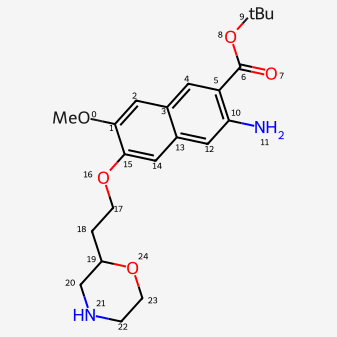 COc1cc2cc(C(=O)OC(C)(C)C)c(N)cc2cc1OCCC1CNCCO1